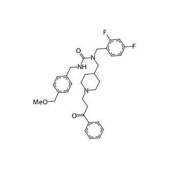 COCc1ccc(CNC(=O)N(Cc2ccc(F)cc2F)CC2CCN(CCC(=O)c3ccccc3)CC2)cc1